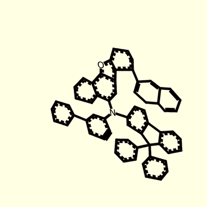 c1cc(-c2ccccc2)cc(N(c2ccc3c(c2)C(c2ccccc2)(c2ccccc2)c2ccccc2-3)c2cc3c(oc4cccc(C5=CCC6C=CC=CC6=C5)c43)c3ccccc23)c#1